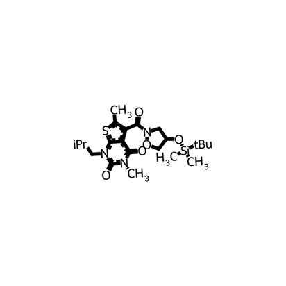 Cc1sc2c(c1C(=O)N1CC(O[Si](C)(C)C(C)(C)C)CO1)c(=O)n(C)c(=O)n2CC(C)C